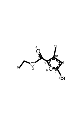 CCOC(=O)c1oc(Br)cc1C